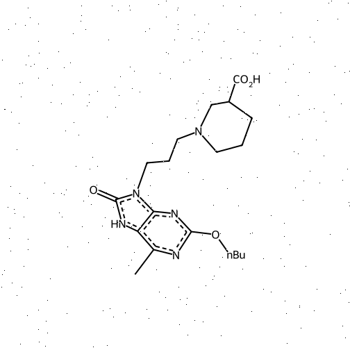 CCCCOc1nc(C)c2[nH]c(=O)n(CCCN3CCCC(C(=O)O)C3)c2n1